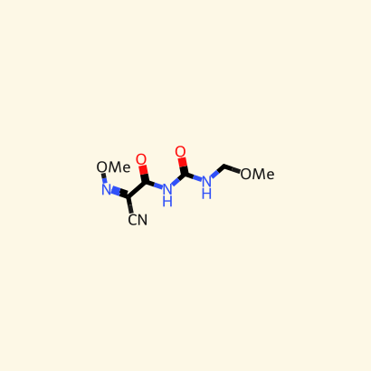 COCNC(=O)NC(=O)/C(C#N)=N\OC